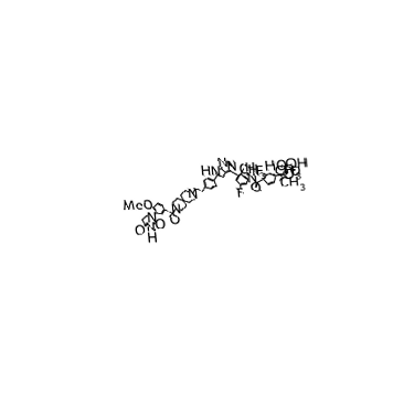 COc1ccc(C(=O)N2CCC3(CCN(CCc4ccc(-c5cc6c(-c7cc(F)cc(NC(=O)c8ccc(C(C)(C)OP(=O)(O)O)cc8F)c7C)ncnc6[nH]5)cc4)CC3)CC2)cc1N1CCC(=O)NC1=O